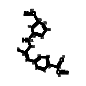 COC(=O)c1ccc(C=C(C)CNc2cccc(OC)c2)cc1